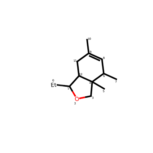 CCC1OCC2(C)C(C)C=C(C)CC12